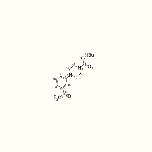 CC(C)(C)OC(=O)N1CCN(c2cccc(C(=O)C(F)(F)F)c2)CC1